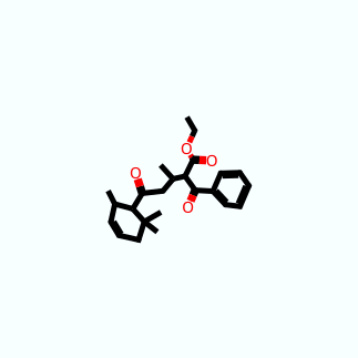 CCOC(=O)C(C(=O)c1ccccc1)C(C)CC(=O)C1C(C)C=CCC1(C)C